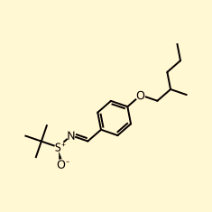 CCCC(C)COc1ccc(/C=N/[S@@+]([O-])C(C)(C)C)cc1